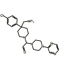 NCC1(c2ccc(Cl)cc2)CCN(C(C=O)N2CCN(c3cnccn3)CC2)CC1